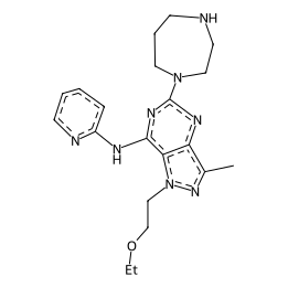 CCOCCn1nc(C)c2nc(N3CCCNCC3)nc(Nc3ccccn3)c21